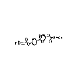 CCCCCCCCCCC(=O)Oc1ccc(-c2ncc(OC(=O)CCCCCC)cn2)cc1